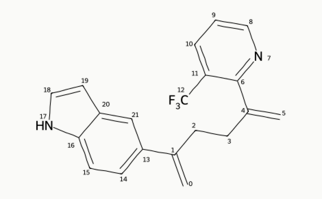 C=C(CCC(=C)c1ncccc1C(F)(F)F)c1ccc2[nH]ccc2c1